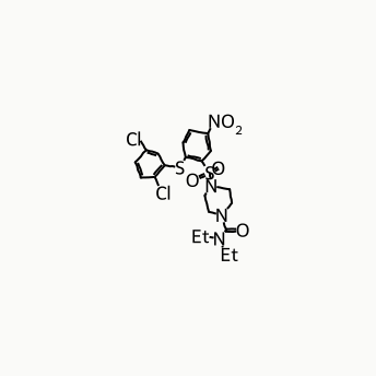 CCN(CC)C(=O)N1CCN(S(=O)(=O)c2cc([N+](=O)[O-])ccc2Sc2cc(Cl)ccc2Cl)CC1